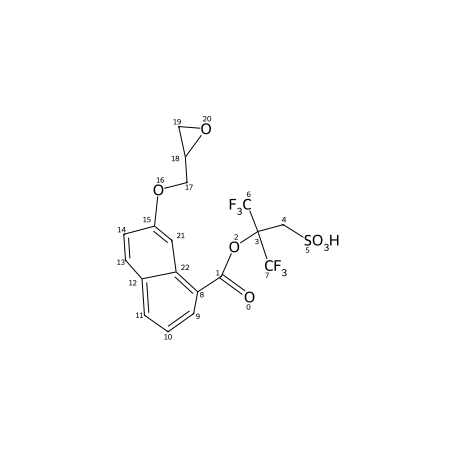 O=C(OC(CS(=O)(=O)O)(C(F)(F)F)C(F)(F)F)c1cccc2ccc(OCC3CO3)cc12